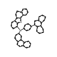 c1ccc2c(c1)ccc1ccc(N(c3ccc(-c4cc5ccccc5c5ccccc45)cc3)c3cccc4c3sc3c5ccccc5ccc43)cc12